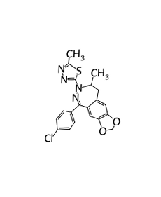 Cc1nnc(N2N=C(c3ccc(Cl)cc3)c3cc4c(cc3CC2C)OCO4)s1